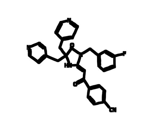 N#Cc1ccc(C(=O)/C=C2\NC(Cc3ccncc3)(Cc3ccncc3)C(=O)N2Cc2cccc(F)c2)cc1